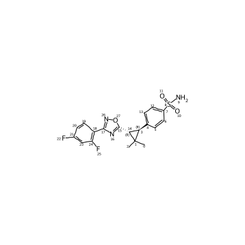 CC1(C)[C@H](c2ccc(S(N)(=O)=O)cc2)[C@H]1c1nc(-c2ccc(F)cc2F)no1